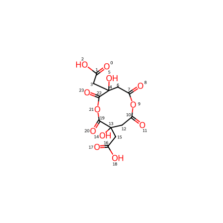 O=C(O)CC1(O)CC(=O)OC(=O)CC(O)(CC(=O)O)C(=O)OC1=O